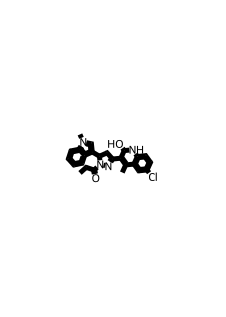 CCC(=O)N1N=C(C2=C(C)c3cc(Cl)ccc3NC2O)CC1c1cn(C)c2ccccc12